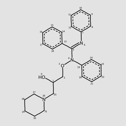 OC(CON(/C(=N/c1ccccc1)c1ccccc1)c1ccccc1)CN1CCCCC1